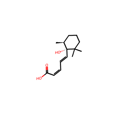 C[C@H]1CCCC(C)(C)[C@@]1(O)/C=C/C=C\C(=O)O